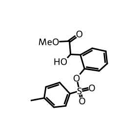 COC(=O)C(O)c1ccccc1OS(=O)(=O)c1ccc(C)cc1